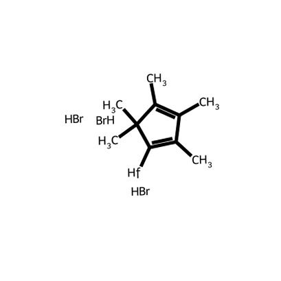 Br.Br.Br.CC1=C(C)C(C)(C)[C]([Hf])=C1C